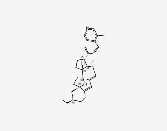 C=C(/C=C\c1ccncc1C)[C@H]1CC[C@@H]2[C@]1(C)CC=C1C=C3CC[C@@H](CC)C[C@]34CC[C@@]12O4